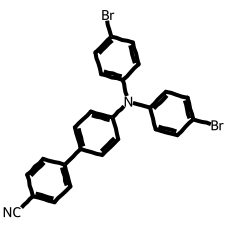 N#Cc1ccc(-c2ccc(N(c3ccc(Br)cc3)c3ccc(Br)cc3)cc2)cc1